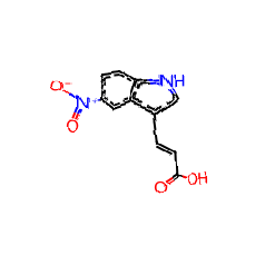 O=C(O)/C=C/c1c[nH]c2ccc([N+](=O)[O-])cc12